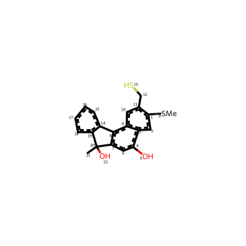 CSc1cc2c(O)cc3c(c2cc1CS)-c1ccccc1C3(C)O